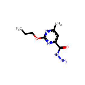 Cc1cc(C(=O)NN)nc(OCCC(F)(F)F)n1